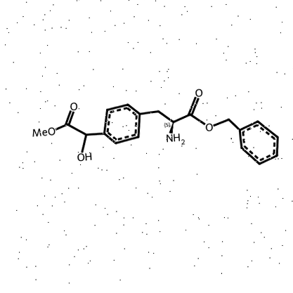 COC(=O)C(O)c1ccc(C[C@H](N)C(=O)OCc2ccccc2)cc1